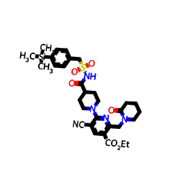 CCOC(=O)c1cc(C#N)c(N2CCC(C(=O)NS(=O)(=O)Cc3ccc([Si](C)(C)C)cc3)CC2)nc1CN1CCCCC1=O